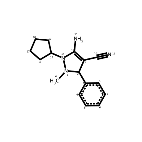 CN1C(c2ccccc2)C(C#N)=C(N)N1C1CCCC1